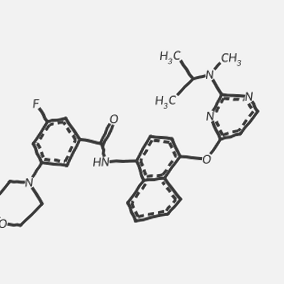 CC(C)N(C)c1nccc(Oc2ccc(NC(=O)c3cc(F)cc(N4CCOCC4)c3)c3ccccc23)n1